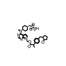 CNS(=O)(=O)C[C@H]1CC[C@H](N(C)c2ncnc3c2ccn3COC(=O)C(C)c2ccc(CC3CCCC3=O)cc2)CC1